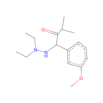 CCN(CC)N[C](C(=O)C(C)C)c1cccc(OC)c1